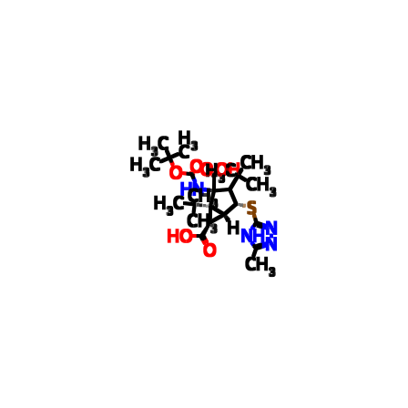 Cc1nnc(S[C@H]2C(C(C)(C)C)[C@@](NC(=O)OC(C)(C)C)(C(=O)O)[C@@]3(C(C)(C)C)[C@H]2[C@H]3C(=O)O)[nH]1